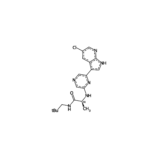 C[C@H](Nc1cncc(-c2c[nH]c3ncc(Cl)cc23)n1)C(=O)NCC(C)(C)C